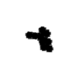 c1ccc(-c2ccc(-c3nc(-c4cccc5c4oc4cccc(-n6c7ccccc7c7ccccc76)c45)nc(-n4c5ccccc5c5ccccc54)n3)cc2)cc1